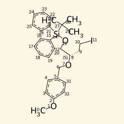 COc1ccc(CO[C@@H](CCI)CO[Si](c2ccccc2)(c2ccccc2)C(C)(C)C)cc1